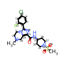 CN1CCn2c(-c3ccc(Cl)cc3F)nc(C(=O)NC3CCN(S(C)(=O)=O)CC3)c2C1